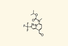 CC(C)OC(=O)N(C)c1ccc(C=O)c2cc(C(F)(F)F)nn12